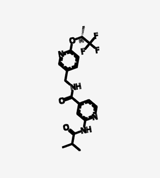 CC(C)C(=O)Nc1cc(C(=O)NCc2ccc(O[C@H](C)C(F)(F)F)nc2)ccn1